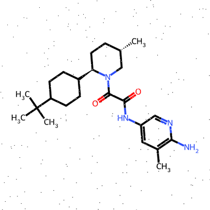 Cc1cc(NC(=O)C(=O)N2C[C@@H](C)CC[C@@H]2C2CCC(C(C)(C)C)CC2)cnc1N